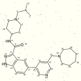 CC(C)CN1CCC(NC(=O)c2n[nH]c3ccc(-c4cncc(CN5CCCCCC5)c4)cc23)CC1